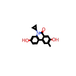 Cc1cc2c(cc1O)c(=O)n(C1CC1)c1cc(O)ccc21